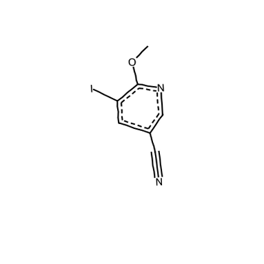 COc1ncc(C#N)cc1I